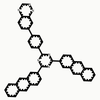 c1ccc2cc3cc(-c4nc(-c5ccc(-c6ccc7ncnnc7c6)cc5)nc(-c5ccc6cc7ccccc7cc6c5)n4)ccc3cc2c1